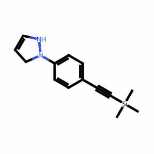 C[Si](C)(C)C#Cc1ccc(N2CC=CN2)cc1